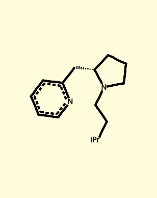 CC(C)CCN1CCC[C@H]1Cc1ccccn1